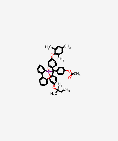 CCC(C)(C)Oc1ccc(C(c2ccc(OC(C)=O)cc2)(c2ccc(Oc3c(C)cc(C)cc3C)cc2)P2(=O)Oc3ccccc3-c3ccccc32)cc1